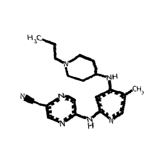 CCCN1CCC(Nc2cc(Nc3cnc(C#N)cn3)ncc2C)CC1